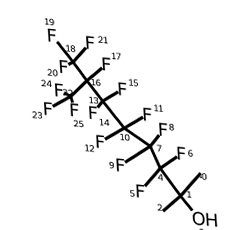 [CH2]C(C)(O)C(F)(F)C(F)(F)C(F)(F)C(F)(F)C(F)(C(F)(F)F)C(F)(F)F